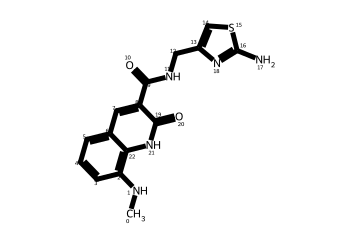 CNc1cccc2cc(C(=O)NCc3csc(N)n3)c(=O)[nH]c12